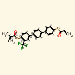 C=CC(=O)Sc1ccc(-c2ccc(-c3ccc(SC(=O)C(=C)C)c(C(F)(F)F)c3)cc2)cc1